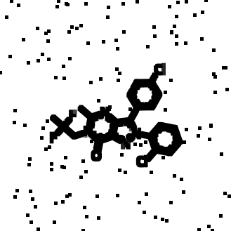 Cc1nc2c(-c3ccc(Cl)cc3)n(-c3ccccc3Cl)nc2c(=O)n1CC(C)(F)F